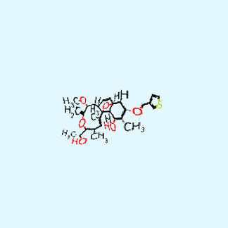 C=C1O[C@H]([C@@H](C)O)[C@H](C)/C=C(\C)[C@]23O[C@@H]4[C@H](C=C[C@@H]2C[C@@H]1OC)[C@H]3[C@H](O)[C@@H](C)[C@H]4OCc1ccsc1